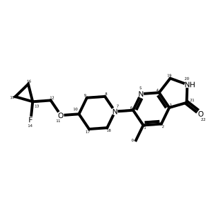 Cc1cc2c(nc1N1CCC(OCC3(F)CC3)CC1)CNC2=O